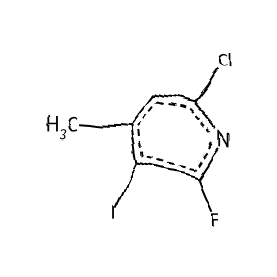 Cc1cc(Cl)nc(F)c1I